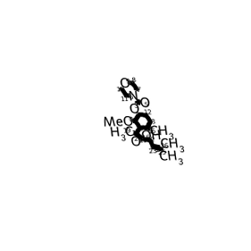 COC1C(OC(=O)N2CCOCC2)CCC(C)(O)C1C1(C)OC1CC=C(C)C